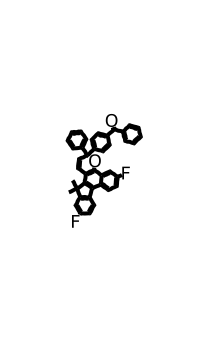 CC1(C)c2cc(F)ccc2-c2c1c1c(c3cc(F)ccc23)OC(c2ccccc2)(c2ccc(C(=O)c3ccccc3)cc2)C=C1